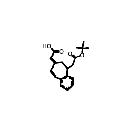 CC(C)(C)OC(=O)CC1CC(=CC(=O)O)C=Cc2ccccc21